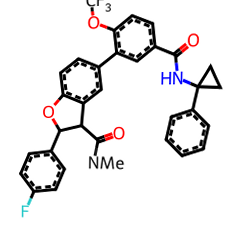 CNC(=O)C1c2cc(-c3cc(C(=O)NC4(c5ccccc5)CC4)ccc3OC(F)(F)F)ccc2OC1c1ccc(F)cc1